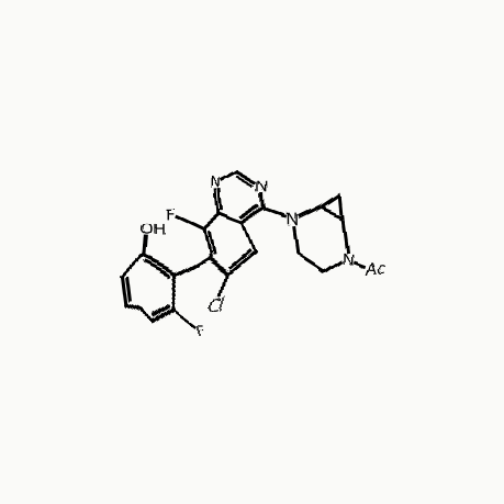 CC(=O)N1CCN(c2ncnc3c(F)c(-c4c(O)cccc4F)c(Cl)cc23)C2CC21